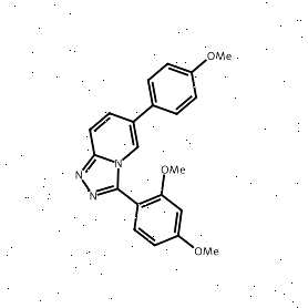 COc1ccc(-c2ccc3nnc(-c4ccc(OC)cc4OC)n3c2)cc1